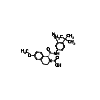 COc1ccc2c(c1)CCN(C(=O)O)[C@H]2C(=O)Nc1ccc(C(C)(C)C)c(C#N)c1